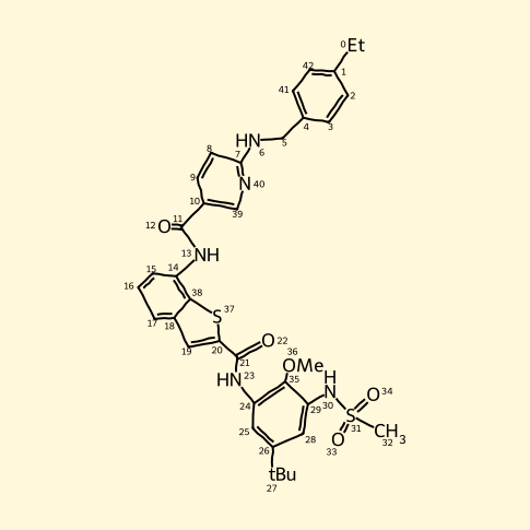 CCc1ccc(CNc2ccc(C(=O)Nc3cccc4cc(C(=O)Nc5cc(C(C)(C)C)cc(NS(C)(=O)=O)c5OC)sc34)cn2)cc1